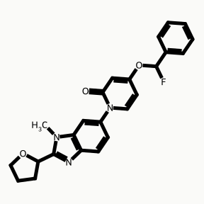 Cn1c(C2CCCO2)nc2ccc(-n3ccc(OC(F)c4ccccc4)cc3=O)cc21